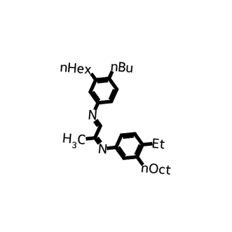 CCCCCCCCc1cc(N=C(C)C=Nc2ccc(CCCC)c(CCCCCC)c2)ccc1CC